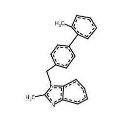 Cc1ccccc1-c1ccc(Cn2c(C)nc3ccccc32)cc1